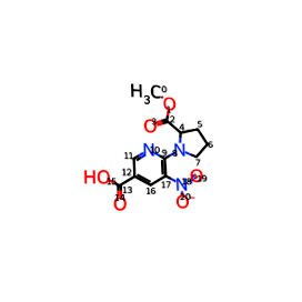 COC(=O)C1CCCN1c1ncc(C(=O)O)cc1[N+](=O)[O-]